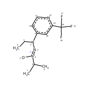 CCN(/N=[N+](\[O-])C(C)C)c1ccnc(C(F)(F)F)c1